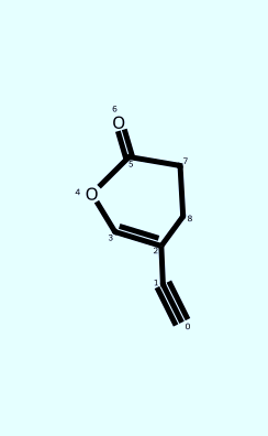 C#CC1=COC(=O)CC1